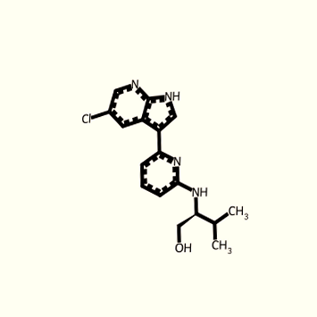 CC(C)[C@@H](CO)Nc1cccc(-c2c[nH]c3ncc(Cl)cc23)n1